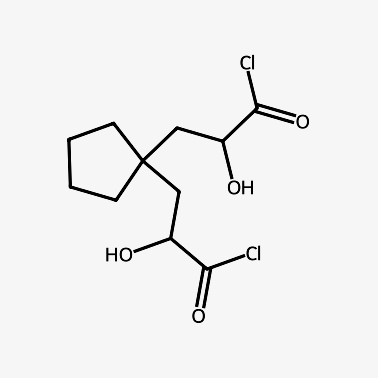 O=C(Cl)C(O)CC1(CC(O)C(=O)Cl)CCCC1